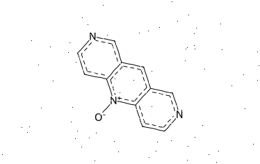 [O-][n+]1c2ccncc2cc2cnccc21